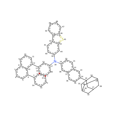 c1ccc(-c2cccc3cccc(-c4cccc(N(c5ccc6cc(C78CC9CC(CC(C9)C7)C8)ccc6c5)c5ccc6c(c5)sc5ccccc56)c4)c23)cc1